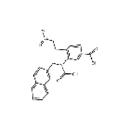 CC(=O)N(Cc1ccc2ccccc2c1)c1cc(C(=O)O)ccc1CC[N+](=O)[O-]